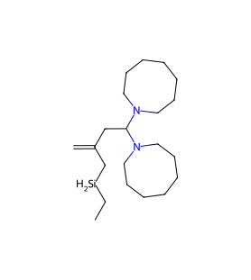 C=C(C[SiH2]CC)CC(N1CCCCCCC1)N1CCCCCCC1